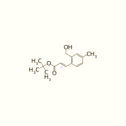 Cc1ccc(/C=C/C(=O)OC(C)(C)C)c(CO)c1